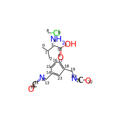 CC(C)[C@H](N)C(=O)O.CCl.O=C=NCc1cccc(CN=C=O)c1